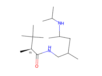 CC(CNC(=O)[C@@H](C)C(C)(C)C)CC(C)NC(C)C